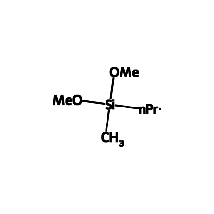 [CH2]C[CH][Si](C)(OC)OC